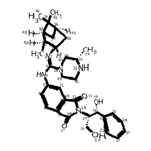 C[C@@H]1[C@@H](/N=C(/Nc2ccc3c(c2)C(=O)N([C@@H](CO)[C@H](O)c2ccccc2)C3=O)N2CCN[C@@H](C)C2)C[C@H]2C[C@@H]1C2(C)C